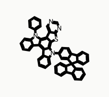 c1ccc(-n2c3ccccc3c3c4c5ccccc5n(-c5ccc6c(c5)C5(c7ccccc7-c7ccccc75)c5ccccc5-6)c4c4sc5ncncc5c4c32)cc1